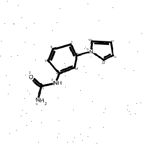 NC(=O)Nc1cccc(-n2cccc2)c1